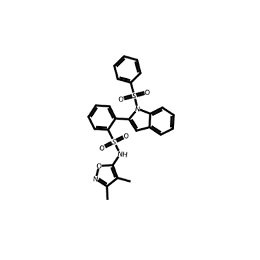 Cc1noc(NS(=O)(=O)c2ccccc2-c2cc3ccccc3n2S(=O)(=O)c2ccccc2)c1C